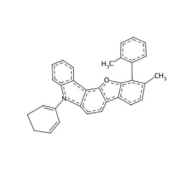 Cc1ccccc1-c1c(C)ccc2c1oc1c2ccc2c1c1ccccc1n2C1=CCCC=C1